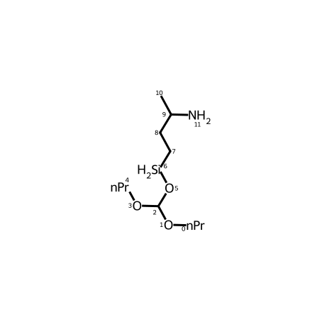 CCCOC(OCCC)O[SiH2]CCC(C)N